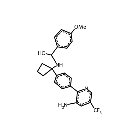 COc1ccc(C(O)NC2(c3ccc(-c4ncc(C(F)(F)F)cc4N)cc3)CCC2)cc1